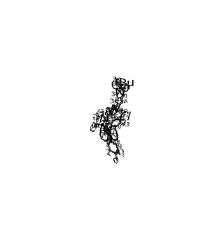 Cc1ccc(S(=O)(=O)n2ncc3c(-c4c(N5CCC(=O)CC56CCC6)nn(C5CC6(C5)CN(C(=O)OC(C)(C)C)C6)c4C)c(Cl)c(C)cc32)cc1